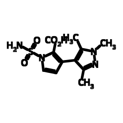 Cc1nn(C)c(C)c1-c1ccn(S(N)(=O)=O)c1C(=O)O